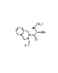 CC(C)(C)C(NC(=O)O)C(=O)N1Cc2ccccc2CC1CO